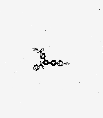 CC(C)N1CCN(c2ccc(-c3cc(C4CCN(C(=O)OC(C)(C)C)CC4)c4nc(N5CCOCC5)n(C)c4c3)cc2)CC1